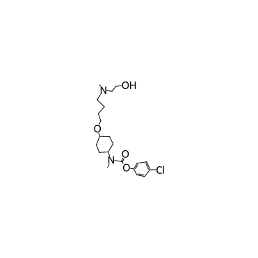 CN(CCO)CCCCOC1CCC(N(C)C(=O)Oc2ccc(Cl)cc2)CC1